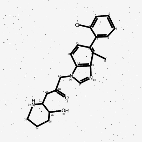 Cc1c(-c2ccccc2Cl)ccc2c1ncn2CC(=O)CC1NCCCC1O